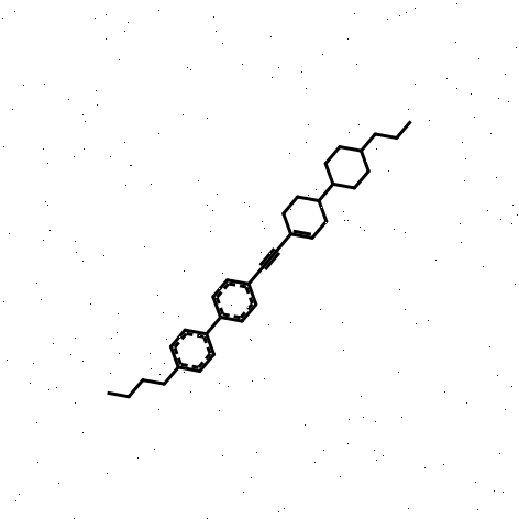 CCCCc1ccc(-c2ccc(C#CC3=CCC(C4CCC(CCC)CC4)CC3)cc2)cc1